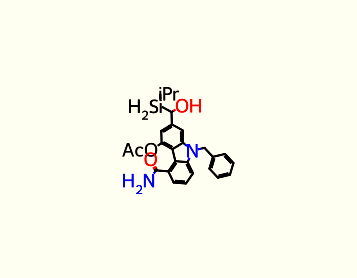 CC(=O)Oc1cc(C(O)[SiH2]C(C)C)cc2c1c1c(C(N)=O)cccc1n2Cc1ccccc1